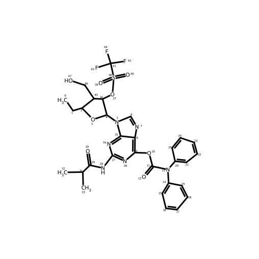 CCC1OC(n2cnc3c(OC(=O)N(c4ccccc4)c4ccccc4)nc(NC(=O)C(C)C)nc32)C(OS(=O)(=O)C(F)(F)F)C1CO